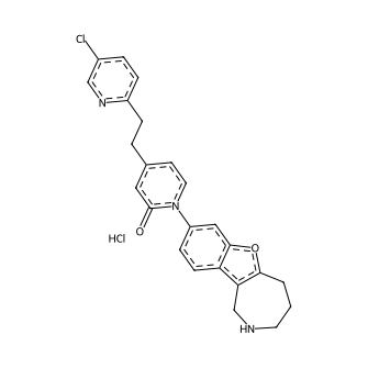 Cl.O=c1cc(CCc2ccc(Cl)cn2)ccn1-c1ccc2c3c(oc2c1)CCCNC3